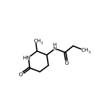 CCC(=O)NC1CCC(=O)NC1C